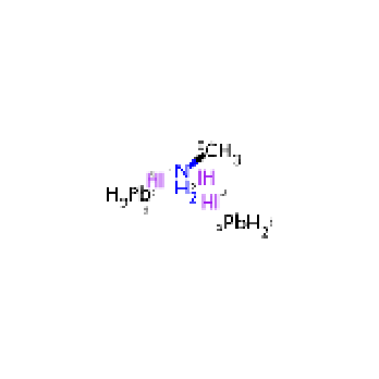 CN.I.I.I.[PbH2].[PbH2]